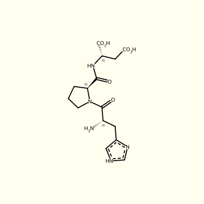 N[C@@H](Cc1c[nH]cn1)C(=O)N1CCC[C@H]1C(=O)N[C@@H](CC(=O)O)C(=O)O